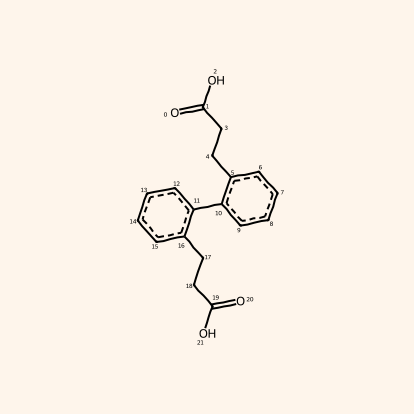 O=C(O)CCc1ccccc1-c1ccccc1CCC(=O)O